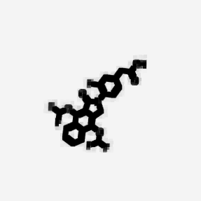 O=C(O)Cc1ccc(N2Cc3c(c(OC(F)F)c4ccccc4c3OC(F)F)C2=O)c(F)c1